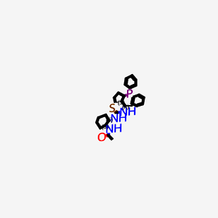 CC(=O)N[C@H]1CCCC[C@@H]1NC(=S)N[C@H](C)[C@@H]1CCCC1P(c1ccccc1)c1ccccc1